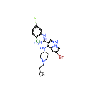 N#CCCN1CCC(Nc2c(/C(N)=N/c3cc(F)ccc3Cl)cnn3cc(Br)cc23)CC1